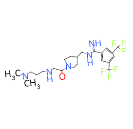 CN(C)CCCNCC(=O)N1CCC(CNC(=N)c2cc(C(F)(F)F)cc(C(F)(F)F)c2)CC1